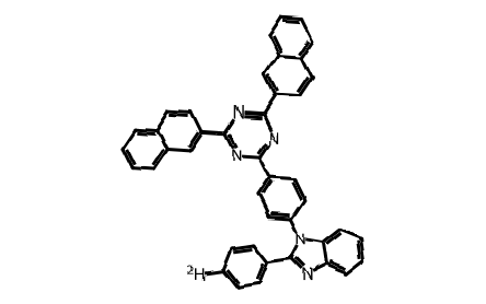 [2H]c1ccc(-c2nc3ccccc3n2-c2ccc(-c3nc(-c4ccc5ccccc5c4)nc(-c4ccc5ccccc5c4)n3)cc2)cc1